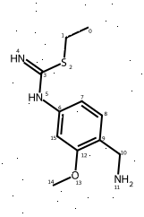 CCSC(=N)Nc1ccc(CN)c(OC)c1